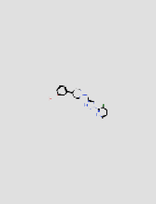 Oc1cccc(C2CCN(Cc3cn(-c4ncccc4Cl)nn3)CC2)c1